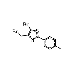 Cc1ccc(-c2nc(CBr)c(Br)s2)cc1